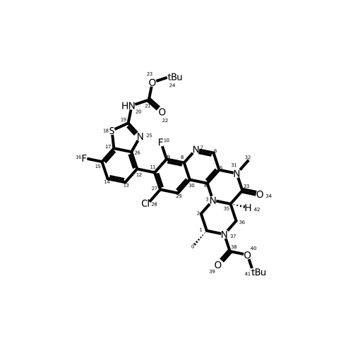 C[C@@H]1CN2c3c(cnc4c(F)c(-c5ccc(F)c6sc(NC(=O)OC(C)(C)C)nc56)c(Cl)cc34)N(C)C(=O)[C@H]2CN1C(=O)OC(C)(C)C